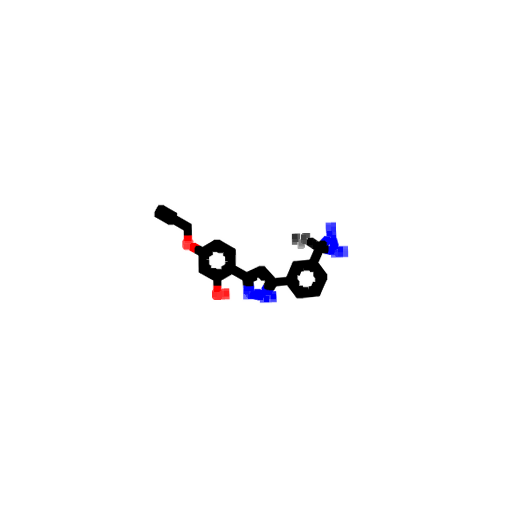 C#CCOc1ccc(-c2cc(-c3cccc(C4(C(F)(F)F)NN4)c3)[nH]n2)c(O)c1